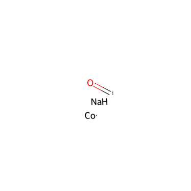 [C]=O.[Co].[NaH]